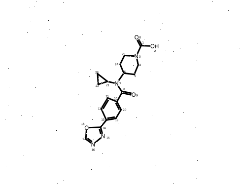 O=C(O)N1CCC(N(C(=O)c2ccc(-c3nnco3)cc2)C2CC2)CC1